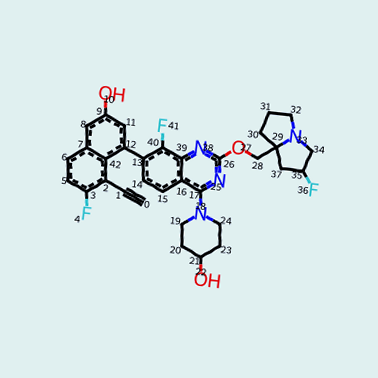 C#Cc1c(F)ccc2cc(O)cc(-c3ccc4c(N5CCC(O)CC5)nc(OCC56CCCN5CC(F)C6)nc4c3F)c12